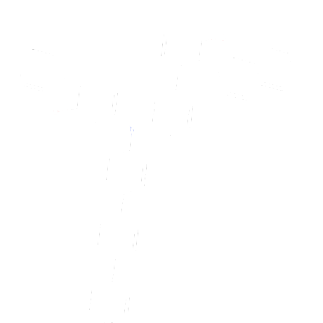 c1ccc(-c2ccc(-c3ccc(N(c4cccc(-c5cccc6oc7c8ccccc8ccc7c56)c4)c4ccc5c(c4)oc4ccccc45)cc3)cc2)cc1